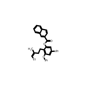 CC/C=C(/C)CCc1c(OC(=O)c2ccc3ccccc3c2)cc(CCC)cc1OC(C)C